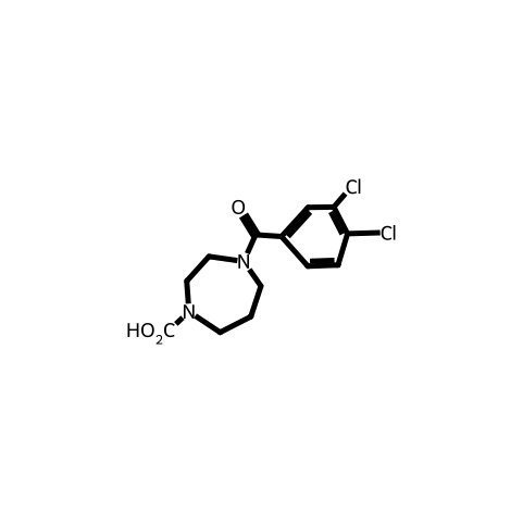 O=C(O)N1CCCN(C(=O)c2ccc(Cl)c(Cl)c2)CC1